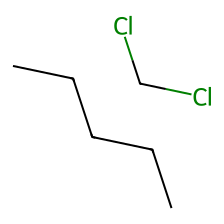 CCCCC.ClCCl